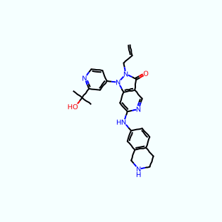 C=CCn1c(=O)c2cnc(Nc3ccc4c(c3)CNCC4)cc2n1-c1ccnc(C(C)(C)O)c1